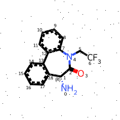 N[C@H]1C(=O)N(CC(F)(F)F)c2ccccc2-c2ccccc21